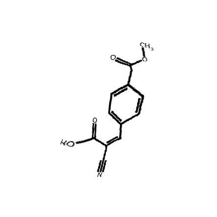 COC(=O)c1ccc(C=C(C#N)C(=O)O)cc1